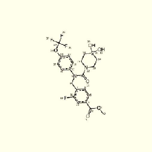 COC(=O)c1ccc(CN(C(=O)N2CCS(O)(O)CC2)c2ccc(OC(F)(F)F)cc2)c(F)c1